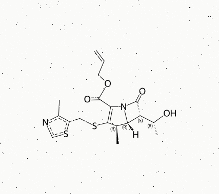 C=CCOC(=O)C1=C(SCc2scnc2C)[C@H](C)[C@H]2[C@@H]([C@@H](C)O)C(=O)N12